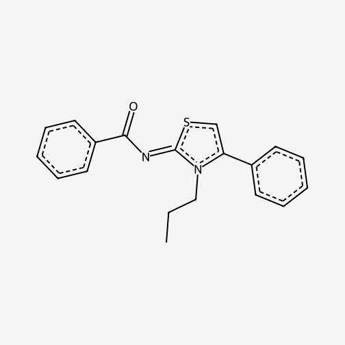 CCCn1c(-c2ccccc2)cs/c1=N\C(=O)c1ccccc1